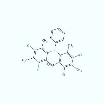 Cc1c(Cl)c(C)c(B(c2ccccc2)c2c(C)c(Cl)c(C)c(Cl)c2C)c(C)c1Cl